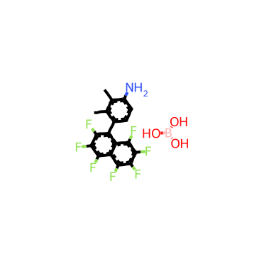 Cc1c(N)ccc(-c2c(F)c(F)c(F)c3c(F)c(F)c(F)c(F)c23)c1C.OB(O)O